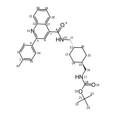 Cc1ccc(-c2cc(C(=O)NC[C@H]3CC[C@H](CNC(=O)OC(C)(C)C)CC3)c3ccccc3n2)cc1